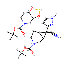 CC(C)(C)OC(=O)N1CCC2OSOC2C1.Cn1ccc(C2(C#N)C3CCN(C(=O)OC(C)(C)C)CC32)n1